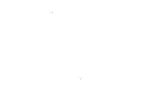 O=[N+]([O-])c1ccc(-c2ccc(S)cc2)cc1